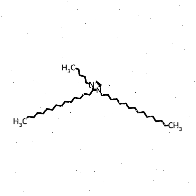 CCCCCCCCCCCCCCCCn1cc[n+](CCCCC)c1CCCCCCCCCCCCCCC